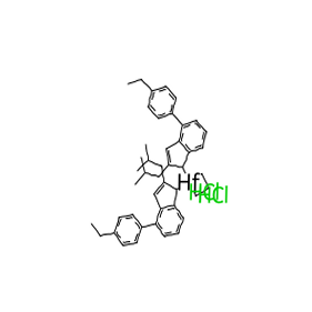 CCc1ccc(-c2cccc3c2C=C(CC(C)C)[CH]3[Hf]2([CH]3C(CC(C)C)=Cc4c(-c5ccc(CC)cc5)cccc43)[CH2]C[CH2]2)cc1.Cl.Cl